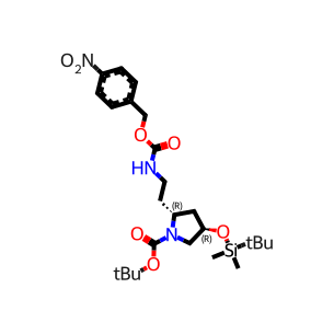 CC(C)(C)OC(=O)N1C[C@H](O[Si](C)(C)C(C)(C)C)C[C@H]1CCNC(=O)OCc1ccc([N+](=O)[O-])cc1